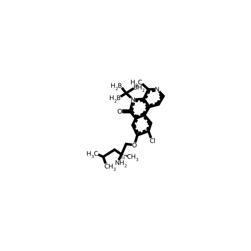 BC(B)(B)n1c(=O)c2cc(OC[C@@](C)(N)CC(C)C)c(Cl)cc2c2ccnc(C)c21